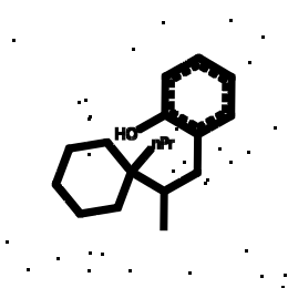 CCCC1(C(C)Cc2ccccc2O)CCCCC1